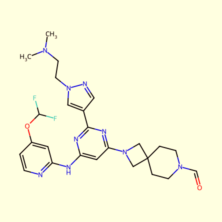 CN(C)CCn1cc(-c2nc(Nc3cc(OC(F)F)ccn3)cc(N3CC4(CCN(C=O)CC4)C3)n2)cn1